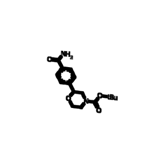 CC(C)(C)OC(=O)N1CCOC(c2ccc(C(N)=O)cc2)C1